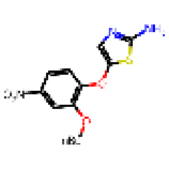 CCCCOc1cc([N+](=O)[O-])ccc1Oc1cnc(N)s1